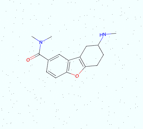 CNC1CCc2oc3ccc(C(=O)N(C)C)cc3c2C1